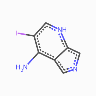 Nc1c(I)c[nH]c2cncc1-2